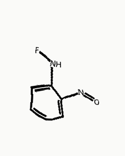 O=Nc1ccccc1NF